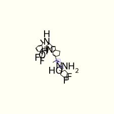 C=C1NC2C[C@@H](c3c(OC(F)F)cccc31)n1c2cc2c1C=C(/C(C)=C/N=C(\N)C1(O)CCC(F)(F)CC1)CC2